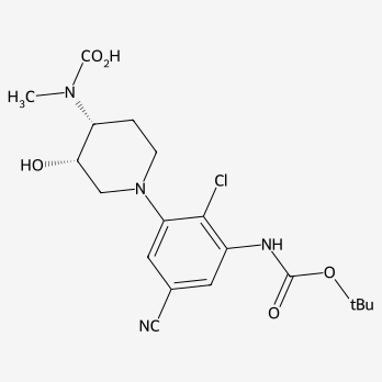 CN(C(=O)O)[C@@H]1CCN(c2cc(C#N)cc(NC(=O)OC(C)(C)C)c2Cl)C[C@@H]1O